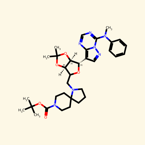 CN(c1ccccc1)c1ncnc2c([C@@H]3OC(CN4CCCC45CCN(C(=O)OC(C)(C)C)CC5)[C@H]4OC(C)(C)O[C@H]43)cnn12